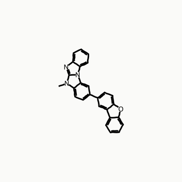 Cn1c2ccc(-c3ccc4oc5ccccc5c4c3)cc2n2c3ccccc3nc12